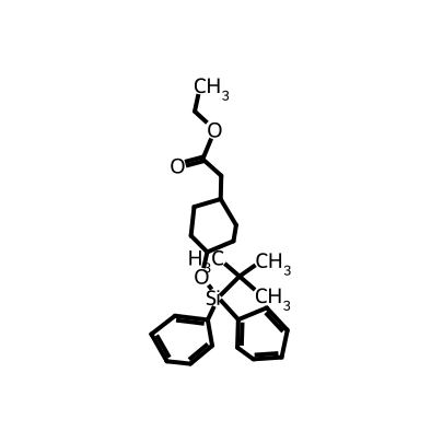 CCOC(=O)CC1CCC(O[Si](c2ccccc2)(c2ccccc2)C(C)(C)C)CC1